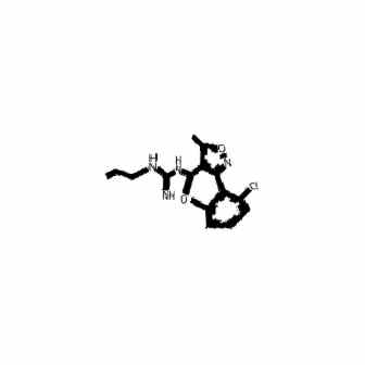 C=CCNC(=N)NC(=O)c1c(-c2c(C)cccc2Cl)noc1C